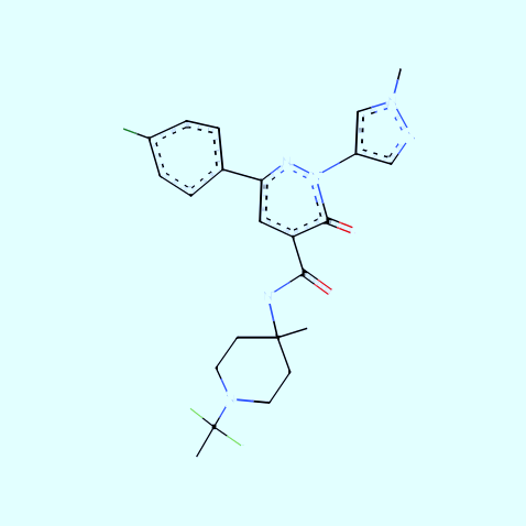 Cn1cc(-n2nc(-c3ccc(Cl)cc3)cc(C(=O)NC3(C)CCN(C(C)(F)F)CC3)c2=O)cn1